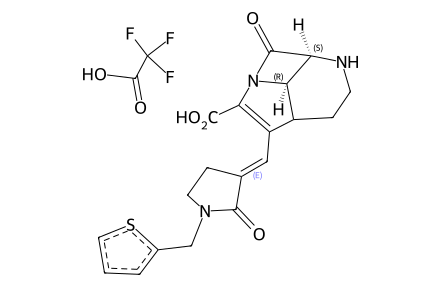 O=C(O)C(F)(F)F.O=C(O)C1=C(/C=C2\CCN(Cc3cccs3)C2=O)C2CCN[C@@H]3C(=O)N1[C@H]23